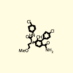 COCCN(C(=O)Nc1ccc(Cl)cc1)c1ccc(C(N)=O)c(-c2ccc(Cl)cc2)c1C